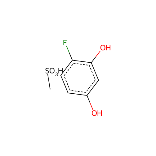 CS(=O)(=O)O.Oc1ccc(F)c(O)c1